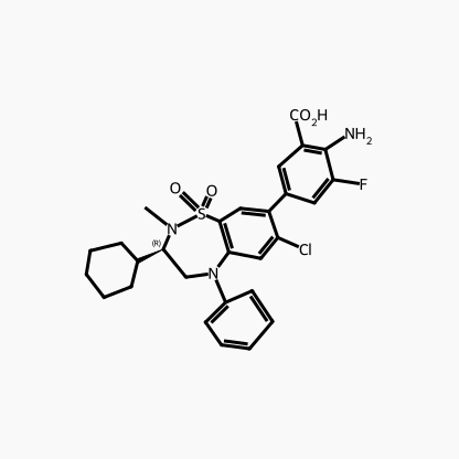 CN1[C@H](C2CCCCC2)CN(c2ccccc2)c2cc(Cl)c(-c3cc(F)c(N)c(C(=O)O)c3)cc2S1(=O)=O